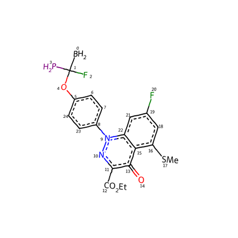 BC(F)(P)Oc1ccc(-n2nc(C(=O)OCC)c(=O)c3c(SC)cc(F)cc32)cc1